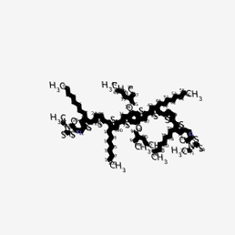 CCCCCCCCc1cc(/C=C2/SC(=S)N(CC)C2=O)sc1-c1ccc(-c2sc(-c3cc4c(OCC(CC)CCCC)c5sc(-c6cc(CCCCCCCC)c(-c7ccc(-c8sc(/C=C9/SC(=S)N(CC)C9=O)cc8CCCCCCCC)s7)s6)cc5c(OCC(CC)CCC)c4s3)cc2CCCCCCCC)s1